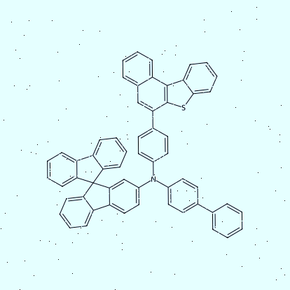 c1ccc(-c2ccc(N(c3ccc(-c4cc5ccccc5c5c4sc4ccccc45)cc3)c3ccc4c(c3)C3(c5ccccc5-c5ccccc53)c3ccccc3-4)cc2)cc1